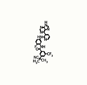 CC(C)(C#N)c1cc(C(=O)Nc2cc(Nc3ncccc3-c3ncnc4[nH]cnc34)ccc2F)cc(C(F)(F)F)c1